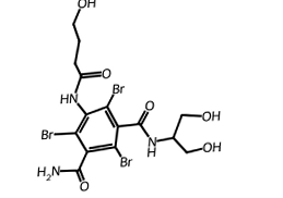 NC(=O)c1c(Br)c(NC(=O)CCCO)c(Br)c(C(=O)NC(CO)CO)c1Br